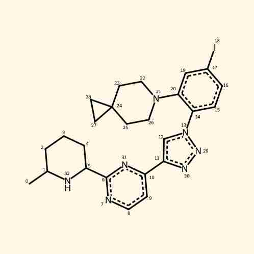 CC1CCCC(c2nccc(-c3cn(-c4ccc(I)cc4N4CCC5(CC4)CC5)nn3)n2)N1